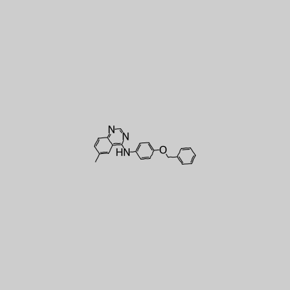 Cc1ccc2ncnc(Nc3ccc(OCc4ccccc4)cc3)c2c1